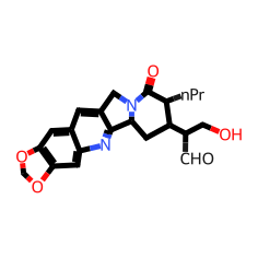 CCCC1C(=O)N2Cc3cc4cc5c(cc4nc3C2CC1C(C=O)CO)OCO5